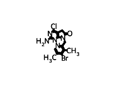 Cc1cnc(CN2C(=O)Cc3c(Cl)nc(N)nc32)c(C)c1Br